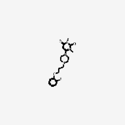 Cn1c(N2CCN(CCCOc3ccccc3F)CC2)cc(=O)n(C)c1=O